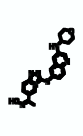 C/C(=N/O)c1ccc2nnc(Sc3ccc4ncc(NC5CCOCC5)cc4c3)n2c1